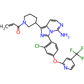 C=CC(=O)N1CCCC(c2nc(-c3ccc(Oc4cc(C(F)(F)F)ccn4)cc3Cl)n3c(N)nccc23)C1